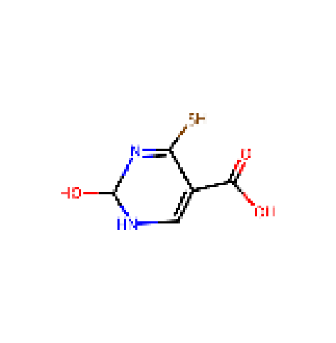 O=C(O)C1=CNC(O)N=C1S